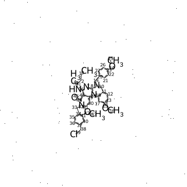 CCC[C@@H](C)Nc1nc(N(Cc2ccc(OC)cc2)Cc2ccc(OC)cc2)nc2ccn(Cc3ccc(CCl)cc3OC)c(=O)c12